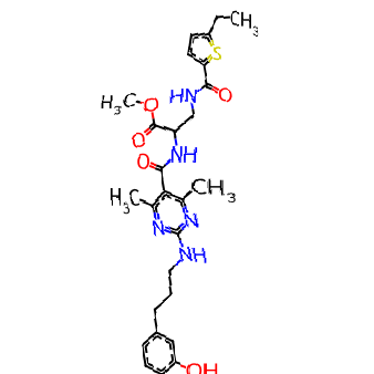 CCc1ccc(C(=O)NCC(NC(=O)c2c(C)nc(NCCCc3cccc(O)c3)nc2C)C(=O)OC)s1